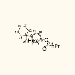 CCCCCCC1(c2ccc(OC(=O)CCC)cc2)CCCCC1